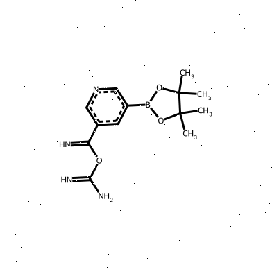 CC1(C)OB(c2cncc(C(=N)OC(=N)N)c2)OC1(C)C